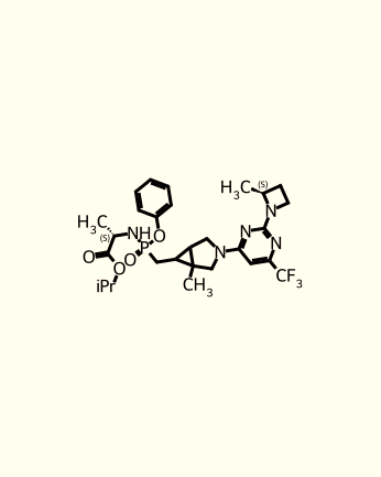 CC(C)OC(=O)[C@H](C)NP(=O)(CC1C2CN(c3cc(C(F)(F)F)nc(N4CC[C@@H]4C)n3)CC21C)Oc1ccccc1